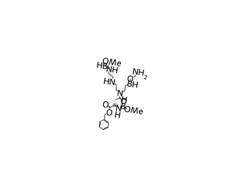 COBNCCNCCN(CCBOCN)C(=O)C[C@H](NBOC)C(=O)OCc1ccccc1